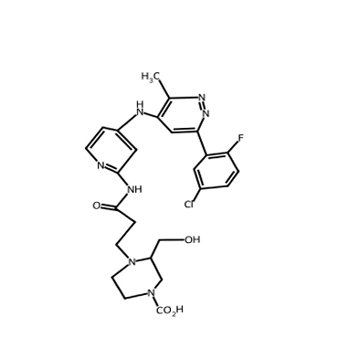 Cc1nnc(-c2cc(Cl)ccc2F)cc1Nc1ccnc(NC(=O)CCN2CCN(C(=O)O)CC2CO)c1